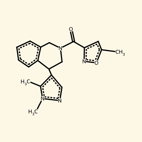 Cc1cc(C(=O)N2Cc3ccccc3C(c3cnn(C)c3C)C2)no1